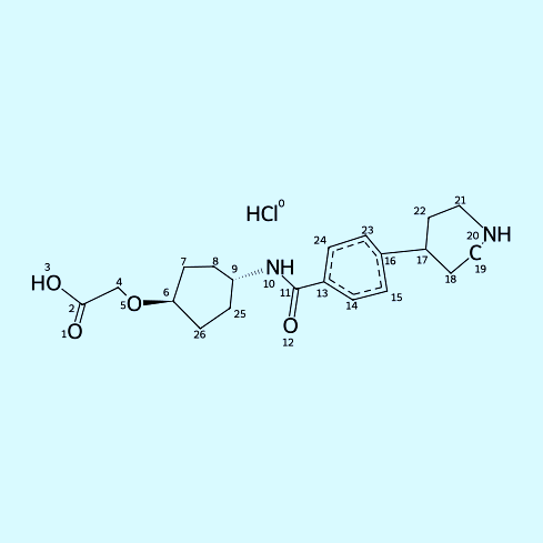 Cl.O=C(O)CO[C@H]1CC[C@H](NC(=O)c2ccc(C3CCNCC3)cc2)CC1